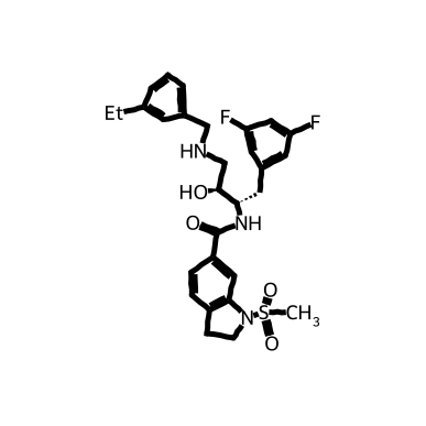 CCc1cccc(CNC[C@H](O)[C@H](Cc2cc(F)cc(F)c2)NC(=O)c2ccc3c(c2)N(S(C)(=O)=O)CC3)c1